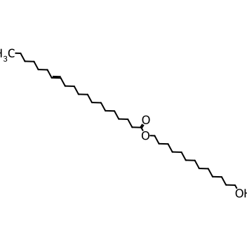 CCCCCCC=CCCCCCCCCCCCC(=O)OCCCCCCCCCCCCCO